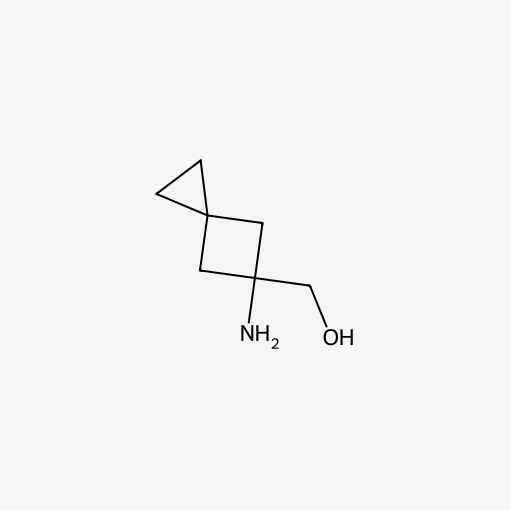 NC1(CO)CC2(CC2)C1